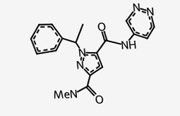 CNC(=O)c1cc(C(=O)Nc2ccnnc2)n(C(C)c2ccccc2)n1